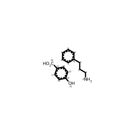 NCCCc1ccccc1.O=C(O)c1ccc(O)cc1